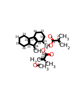 C=C(C)C(=O)[O][Ti+]([O]C(=O)C(=C)C)[CH]1CCCC2=C1C(C)C1=C2CCCC1.C[O-]